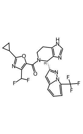 O=C(c1oc(C2CC2)nc1C(F)F)N1CCc2[nH]cnc2[C@@H]1c1cc2cccc(C(F)(F)F)n2n1